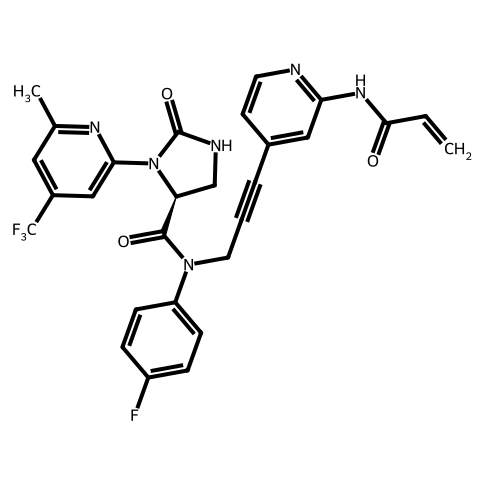 C=CC(=O)Nc1cc(C#CCN(C(=O)[C@@H]2CNC(=O)N2c2cc(C(F)(F)F)cc(C)n2)c2ccc(F)cc2)ccn1